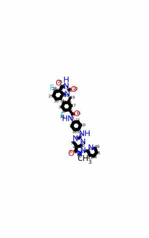 Cn1c(=O)c2cnc(Nc3ccc(NC(=O)c4cc(Cn5c(=O)[nH]c(=O)c6c(F)cccc65)ccc4F)cc3)nc2n1-c1ccccn1